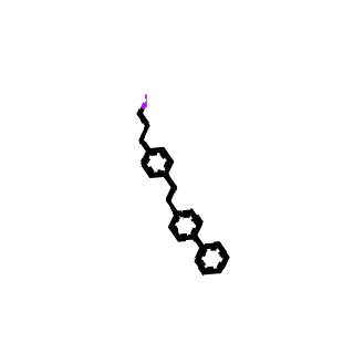 ICCCc1ccc(CCc2ccc(-c3ccccc3)cc2)cc1